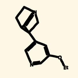 CCOc1cncc(C2=CN3CCC2CC3)c1